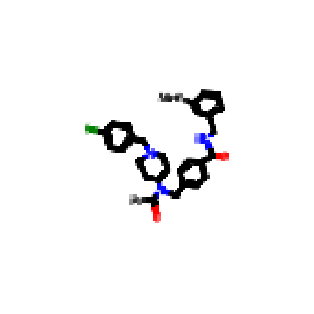 COc1cccc(CNC(=O)c2ccc(CN(C(=O)C(C)C)C3CCN(Cc4ccc(F)cc4)CC3)cc2)c1